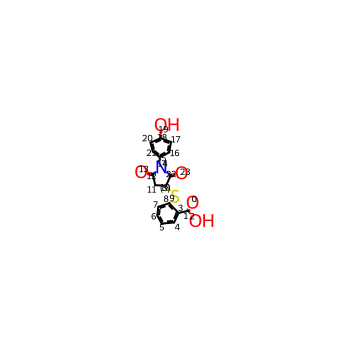 O=C(O)c1ccccc1S[C@H]1CC(=O)N(c2ccc(O)cc2)C1=O